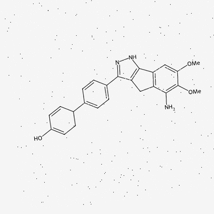 COc1cc2c(c(N)c1OC)Cc1c(-c3ccc(C4C=CC(O)=CC4)cc3)n[nH]c1-2